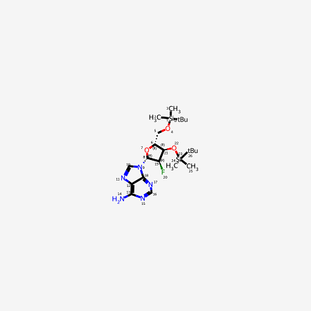 CC(C)(C)[Si](C)(C)OC[C@H]1O[C@@H](n2cnc3c(N)ncnc32)[C@H](F)[C@@H]1O[Si](C)(C)C(C)(C)C